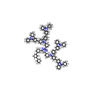 c1ccc(-c2cccc(-c3cccc(-c4cc(-c5cccc(-n6c7ccc(-c8ccc9c(c8)c8ccccc8n9-c8ccccc8)cc7c7cc(-c8ccc9c(c8)c8ccccc8n9-c8ccccc8)ccc76)c5)nc(-c5cccc(-n6c7ccc(-c8ccc9c(c8)c8ccccc8n9-c8ccccc8)cc7c7cc(-c8ccc9c(c8)c8ccccc8n9-c8ccccc8)ccc76)c5)n4)c3)c2)cc1